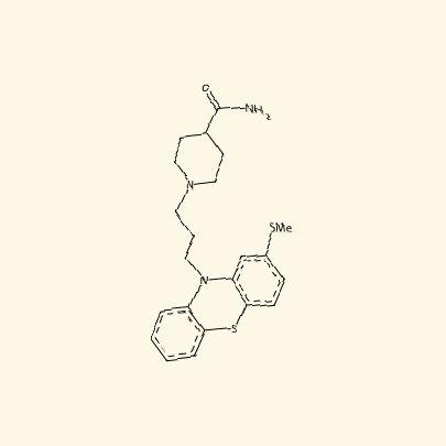 CSc1ccc2c(c1)N(CCCN1CCC(C(N)=O)CC1)c1ccccc1S2